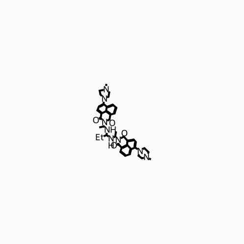 CCC(NC(C)N1C(=O)c2cccc3c(N4CCN(C)CC4)ccc(c23)C1=O)NC(C)N1C(=O)c2cccc3c(N4CCN(C)CC4)ccc(c23)C1=O